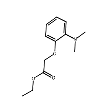 CCOC(=O)COc1ccccc1N(C)C